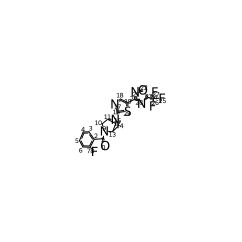 O=C(c1ccccc1F)N1CC2CC1CN2c1ncc(-c2noc(C(F)(F)F)n2)s1